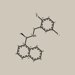 C[C@@H](NCc1cc(I)ccc1F)c1cccc2ccccc12